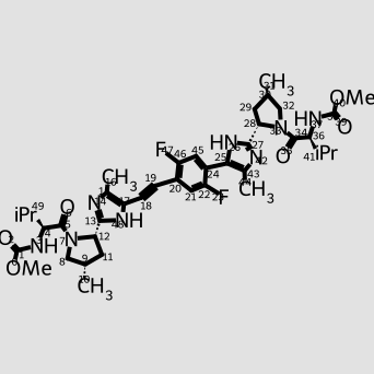 COC(=O)N[C@H](C(=O)N1C[C@@H](C)C[C@H]1c1nc(C)c(C#Cc2cc(F)c(-c3[nH]c([C@@H]4C[C@H](C)CN4C(=O)[C@@H](NC(=O)OC)C(C)C)nc3C)cc2F)[nH]1)C(C)C